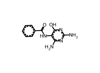 Nc1nc(N)c(NC(=O)c2ccccc2)c(O)n1